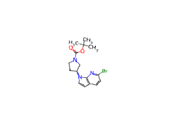 CC(C)(C)OC(=O)N1CC[C@H](n2ccc3ccc(Br)nc32)C1